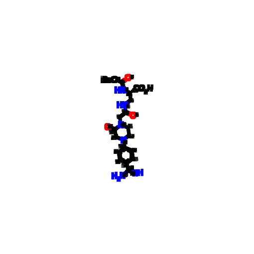 CC(C)COC(=O)N[C@@H](CNC(=O)CN1CCN(c2ccc(C(=N)N)cc2)CC1=O)C(=O)O